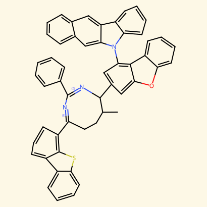 CC1CC/C(c2cccc3c2sc2ccccc23)=N\C(c2ccccc2)=N/C1c1cc(-n2c3ccccc3c3cc4ccccc4cc32)c2c(c1)oc1ccccc12